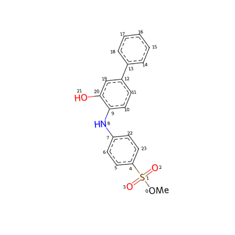 COS(=O)(=O)c1ccc(Nc2ccc(-c3ccccc3)cc2O)cc1